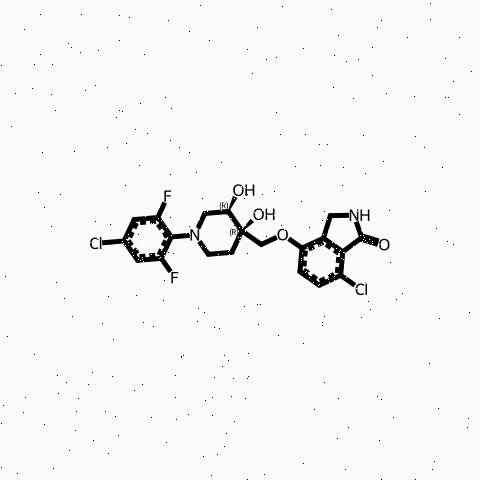 O=C1NCc2c(OC[C@]3(O)CCN(c4c(F)cc(Cl)cc4F)C[C@H]3O)ccc(Cl)c21